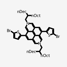 CCCCCCCCCCC(CCCCCCCC)CN1C=c2cc(-c3ccc(Br)s3)c3c4c(cc(-c5ccc(Br)s5)c(c24)=C1)=CN(CC(CCCCCCCC)CCCCCCCCCC)C=3